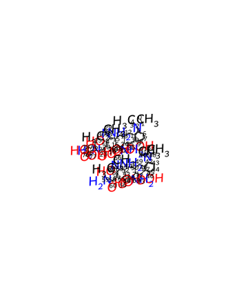 CCN(CC)c1ccc(O)c2c1CC1CC3C(O)(C(=O)C(C(N)=O)=C(O)[C@@]3(N)N(C)C)C(N)(O)C1C2=O.CCN(CC)c1ccc(O)c2c1CC1CC3C(O)(C(=O)C(C(N)=O)=C(O)[C@@]3(N)N(C)C)C(N)(O)C1C2=O.O=S(=O)(O)O